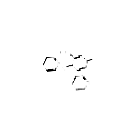 O=CC1=CC(=O)C=CC1=O.c1ccncc1.c1ccncc1